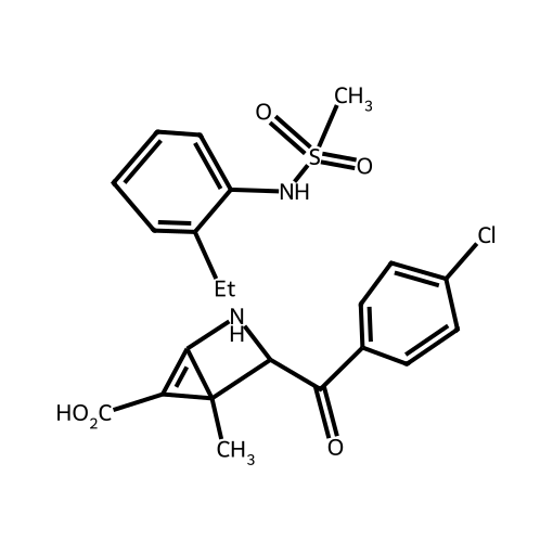 CC12C(=C1C(=O)O)NC2C(=O)c1ccc(Cl)cc1.CCc1ccccc1NS(C)(=O)=O